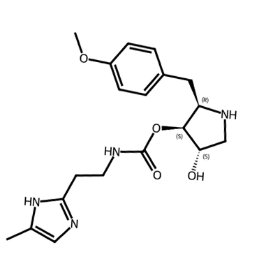 COc1ccc(C[C@H]2NC[C@H](O)[C@H]2OC(=O)NCCc2ncc(C)[nH]2)cc1